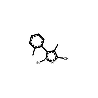 CCCCn1nc(O)c(C)c1-c1ccccc1C